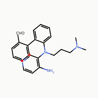 CN(C)CCCN(c1cnccc1N)c1ccccc1-c1ccccc1C=O